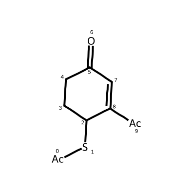 CC(=O)SC1CCC(=O)C=C1C(C)=O